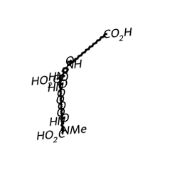 CN[C@@H](CCCCNC(=O)CCOCCOCCOCCOCCNC(=O)CC[C@H](NC(=O)[C@H]1CC[C@H](CNC(=O)CCCCCCCCCCCCCCCCCCC(=O)O)CC1)C(=O)O)C(=O)O